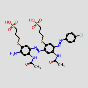 CC(=O)Nc1cc(N=Nc2cc(SCCCS(=O)(=O)O)c(N)cc2NC(C)=O)c(SCCCS(=O)(=O)O)cc1N=Nc1ccc(Cl)cc1